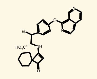 CCC(c1ccc(Oc2nccc3ccncc23)cc1)[C@H](NC1=CC(=O)C12CCCCC2)C(=O)O